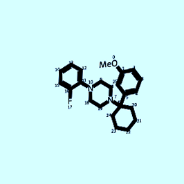 COc1cccc(C2(N3CCN(c4ccccc4F)CC3)CCCCC2)c1